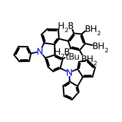 Bc1c(B)c(B)c(-c2cccc3c2c2c(C(C)(C)C)c(-n4c5ccccc5c5ccccc54)ccc2n3-c2ccccc2)c(B)c1B